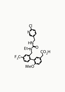 CCN(Cc1cc(C(F)(F)F)ccc1-c1cc(CC(=O)O)ccc1OC)C(=O)NCc1ccc(Cl)nc1